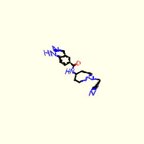 N#CCN1CCC(NC(=O)c2ccc3[nH]ncc3c2)CC1